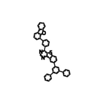 c1ccc(-c2cc(-c3ccccc3)cc(-c3ccc4sc5c(-c6cccc(-c7cccc8c7oc7ccccc78)c6)ncnc5c4c3)c2)cc1